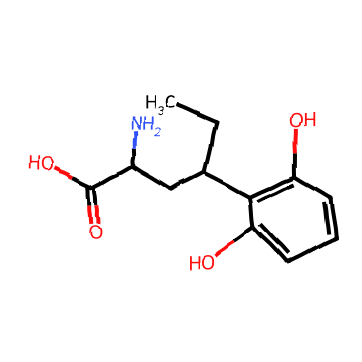 CCC(CC(N)C(=O)O)c1c(O)cccc1O